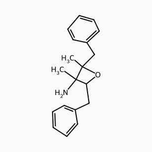 CC1(Cc2ccccc2)OC(Cc2ccccc2)C1(C)N